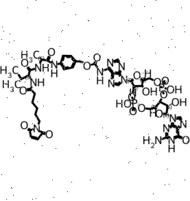 CC(C)[C@H](NC(=O)CCCCCN1C(=O)C=CC1=O)C(=O)N[C@@H](C)C(=O)Nc1ccc(COC(=O)Nc2ncnc3c2ncn3[C@@H]2O[C@@H]3COP(=O)(O)OC4[C@@H](COP(=O)(O)O[C@H]2C3O)O[C@@H](n2cnc3c(=O)[nH]c(N)nc32)[C@H]4O)cc1